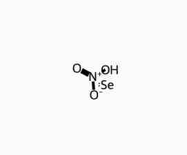 O=[N+]([O-])O.[Se]